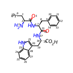 CC(C)C[C@H](N)C(=O)N[C@@H](Cc1ccccc1)C(=O)N[C@@H](Cc1c[nH]c2ccccc12)C(=O)O